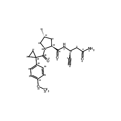 C#C[C@H](CC(N)=O)NC(=O)[C@@H]1C[C@@H](C)CN1C(=O)C1(c2ccc(OC(F)(F)F)cc2)CC1